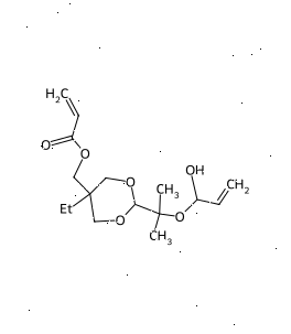 C=CC(=O)OCC1(CC)COC(C(C)(C)OC(O)C=C)OC1